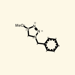 CON1CN(Cc2ccccc2)N=N1